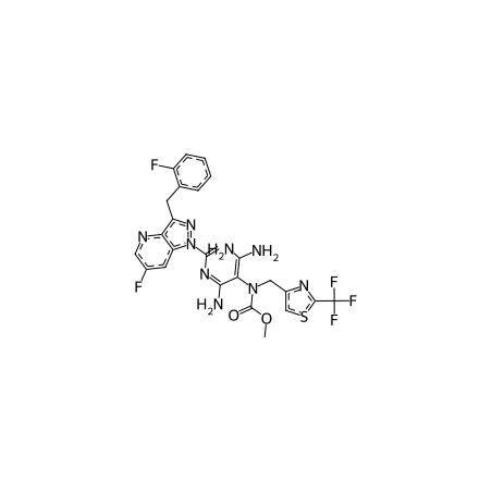 C=C(/N=C(/N)C(=C(N)N)N(Cc1csc(C(F)(F)F)n1)C(=O)OC)n1nc(Cc2ccccc2F)c2ncc(F)cc21